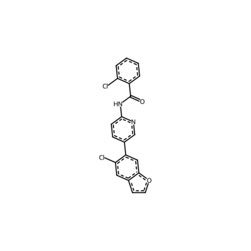 O=C(Nc1ccc(-c2cc3occc3cc2Cl)cn1)c1ccccc1Cl